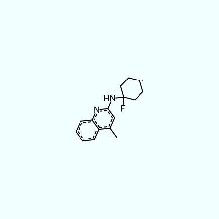 Cc1cc(NC2(F)CC[CH]CC2)nc2ccccc12